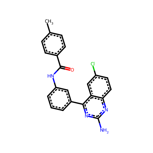 Cc1ccc(C(=O)Nc2cccc(-c3nc(N)nc4ccc(Cl)cc34)c2)cc1